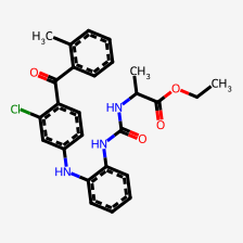 CCOC(=O)C(C)NC(=O)Nc1ccccc1Nc1ccc(C(=O)c2ccccc2C)c(Cl)c1